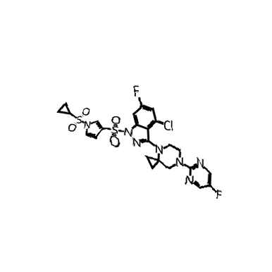 O=S(=O)(c1ccn(S(=O)(=O)C2CC2)c1)n1nc(N2CCN(c3ncc(F)cn3)CC23CC3)c2c(Cl)cc(F)cc21